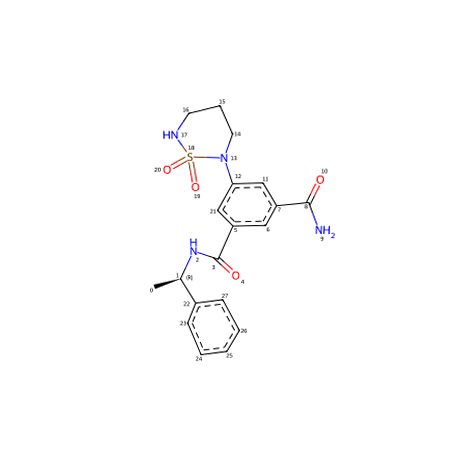 C[C@@H](NC(=O)c1cc(C(N)=O)cc(N2CCCNS2(=O)=O)c1)c1ccccc1